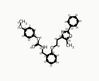 COc1ccc(OC(=O)NCc2ccccc2OCCc2nc(-c3ccccc3)oc2C)cc1